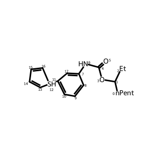 CCCCCC(CC)OC(=O)Nc1cccc([SH]2C=CC=C2)c1